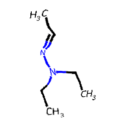 CC=NN(CC)CC